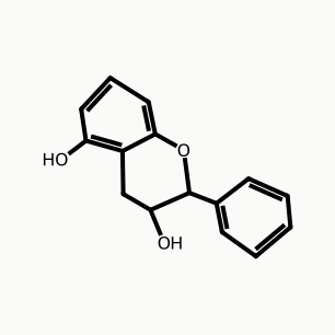 Oc1cccc2c1CC(O)C(c1ccccc1)O2